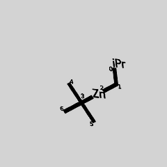 CC(C)[CH2][Zn][C](C)(C)C